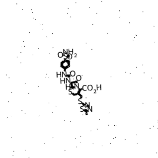 Cc1nnc(SCC2=C(C(=O)O)N3C(=O)C(NC(=O)Nc4ccc(S(N)(=O)=O)cc4)[C@H]3SC2)s1